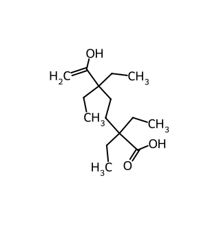 C=C(O)C(CC)(CC)CCC(CC)(CC)C(=O)O